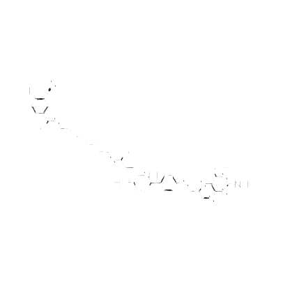 N#Cc1cc(C(=O)NCCOCCOCCNC(=O)CC[C@H](NC(=O)c2ccc(NCc3cnc4nc(N)[nH]c(=O)c4n3)cc2)C(=O)O)ccc1F